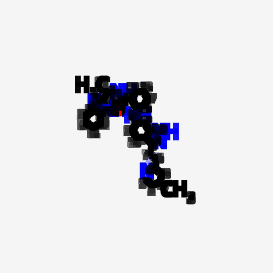 Cc1ccnc(/C=C/c2n[nH]c3cc(Nc4ccccc4C(=O)NC(C)c4nc5ccccc5[nH]4)ccc23)c1